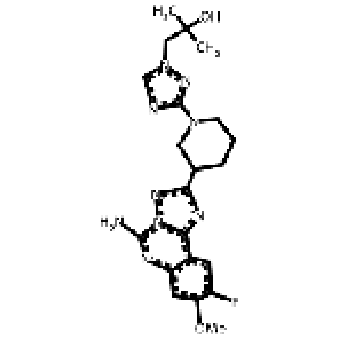 COc1cc2nc(N)n3nc(C4CCCN(c5ncn(CC(C)(C)O)n5)C4)nc3c2cc1F